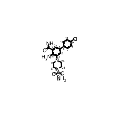 NC(=O)c1cc(-c2ccc(Cl)cc2)cc(N2CCN(S(N)(=O)=O)CC2)c1N